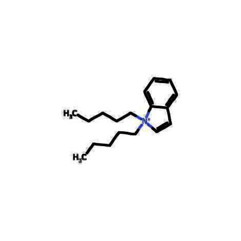 CCCCC[N+]1(CCCCC)C=Cc2ccccc21